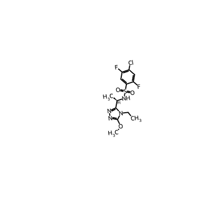 CCn1c(OC)nnc1[C@@H](C)NS(=O)(=O)c1cc(F)c(Cl)cc1F